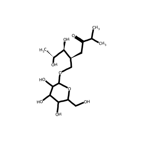 CC(C)C(=O)C[C@@H](COC1OC(CO)C(O)C(O)C1O)[C@H](O)[C@@H](C)O